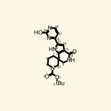 CC(C)(C)OC(=O)N1CCCC2(CNC(=O)c3cc(-c4ccnc(O)n4)[nH]c32)C1